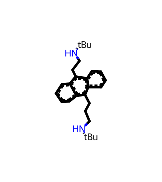 CC(C)(C)NCCCc1c2ccccc2c(CCNC(C)(C)C)c2ccccc12